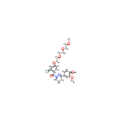 CCOc1cc(C2=NN(C(=O)c3ccc(OCCOCCOCCOC)cc3Cl)CCC2)ccc1OC